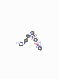 O=C(NC1CCC(n2c(=O)c3cc(F)cnc3n(-c3cccc(-c4ccc(CN5CCCNCC5)cc4)c3)c2=O)CC1)c1nc2ccccc2[nH]1